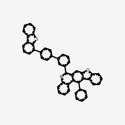 c1ccc(-c2c3c(cc4c(-c5cccc(-c6ccc(-c7cccc8c7sc7ccccc78)cc6)c5)nc5ccccc5c24)oc2ccccc23)cc1